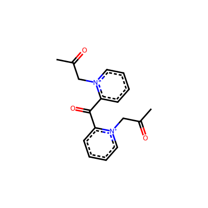 CC(=O)C[n+]1ccccc1C(=O)c1cccc[n+]1CC(C)=O